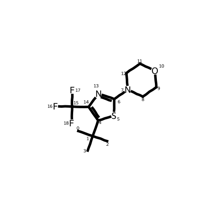 CC(C)(C)c1sc(N2CCOCC2)nc1C(F)(F)F